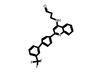 O=CCCNc1cc(-c2ccc(-c3cccc(C(F)(F)F)c3)cc2)nc2ccccc12